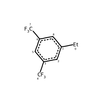 [CH2]Cc1cc(C(F)(F)F)cc(C(F)(F)F)c1